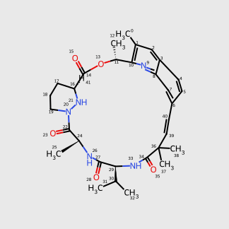 Cc1cc2ccc3cc2nc1[C@@H](C)OC(=O)[C@@H]1CCCN(N1)C(=O)[C@H](C)NC(=O)[C@H](C(C)C)NC(=O)C(C)(C)/C=C/3